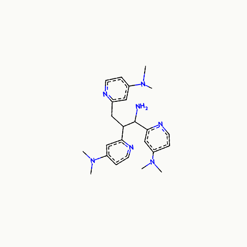 CN(C)c1ccnc(CC(c2cc(N(C)C)ccn2)C(N)c2cc(N(C)C)ccn2)c1